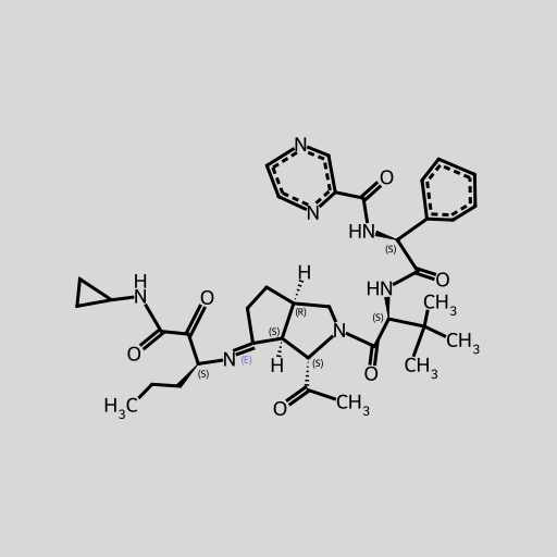 CCC[C@H](/N=C1\CC[C@H]2CN(C(=O)[C@@H](NC(=O)[C@@H](NC(=O)c3cnccn3)c3ccccc3)C(C)(C)C)[C@H](C(C)=O)[C@@H]12)C(=O)C(=O)NC1CC1